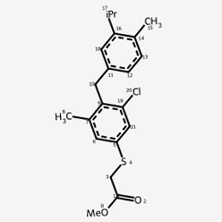 COC(=O)CSc1cc(C)c(Cc2ccc(C)c(C(C)C)c2)c(Cl)c1